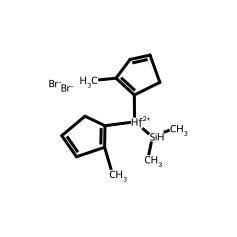 CC1=[C]([Hf+2]([C]2=C(C)C=CC2)[SiH](C)C)CC=C1.[Br-].[Br-]